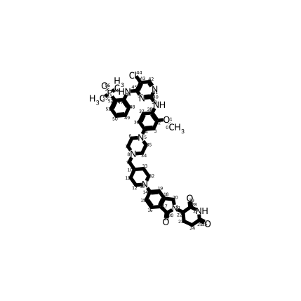 COc1cc(N2CCN(CC3CCN(c4ccc5c(c4)CN(C4CCC(=O)NC4=O)C5=O)CC3)CC2)ccc1Nc1ncc(Cl)c(Nc2ccccc2P(C)(C)=O)n1